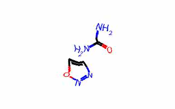 NC(N)=O.c1conn1